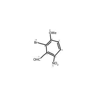 COc1ccc([N+](=O)[O-])c(C=O)c1Br